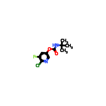 CC(C)(C)NC(=O)Oc1cnc(Cl)c(F)c1